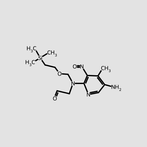 Cc1c(N)cnc(N(CC=O)COCC[Si](C)(C)C)c1N=O